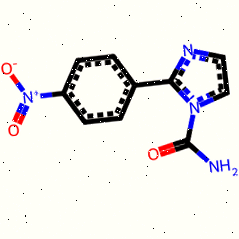 NC(=O)n1ccnc1-c1ccc([N+](=O)[O-])cc1